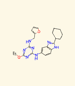 CCOc1nc(NCc2ccco2)nc(Nc2ccc3[nH]c(C4CCCCC4)nc3c2)n1